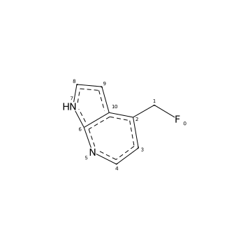 FCc1ccnc2[nH]ccc12